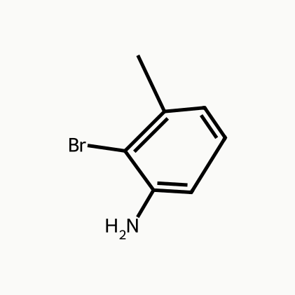 Cc1cccc(N)c1Br